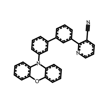 N#Cc1cccnc1-c1cccc(-c2cccc(N3c4ccccc4Oc4ccccc43)c2)c1